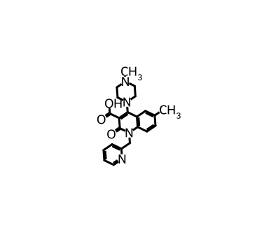 Cc1ccc2c(c1)c(N1CCN(C)CC1)c(C(=O)O)c(=O)n2Cc1ccccn1